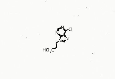 O=C(O)CCn1cnc2c(Cl)ncnc21